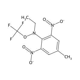 CCN(OC(F)(F)F)c1c([N+](=O)[O-])cc(C)cc1[N+](=O)[O-]